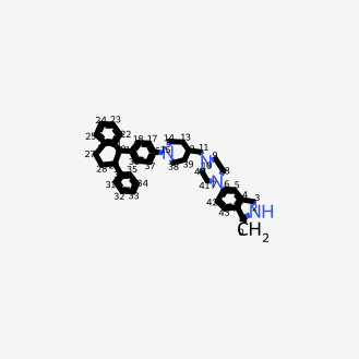 C=C1NCc2cc(N3CCN(CC4CCN(c5ccc(C6c7ccccc7CCC6c6ccccc6)cc5)CC4)CC3)ccc21